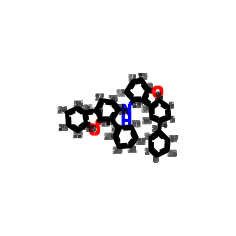 c1ccc(-c2ccc3oc4cccc(Nc5ccc6c(oc7ccccc76)c5-c5ccccc5)c4c3c2)cc1